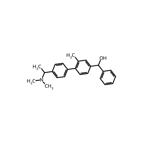 Cc1cc(C(O)c2ccccc2)ccc1-c1ccc(C(C)N(C)C)cc1